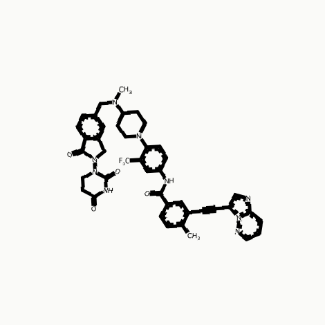 Cc1ccc(C(=O)Nc2ccc(N3CCC(N(C)Cc4ccc5c(c4)CN(N4CCC(=O)NC4=O)C5=O)CC3)c(C(F)(F)F)c2)cc1C#Cc1cnc2cccnn12